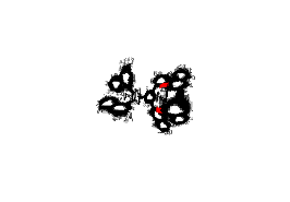 c1ccc(-c2cc(-c3nc(-c4cccc5ccccc45)nc(-c4cccc5ccccc45)n3)cc(-c3ccc4ccccc4c3)c2-n2c3cc4ccccc4cc3c3cc4ccccc4cc32)cc1